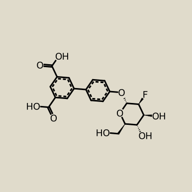 O=C(O)c1cc(C(=O)O)cc(-c2ccc(O[C@H]3O[C@H](CO)[C@@H](O)[C@H](O)[C@@H]3F)cc2)c1